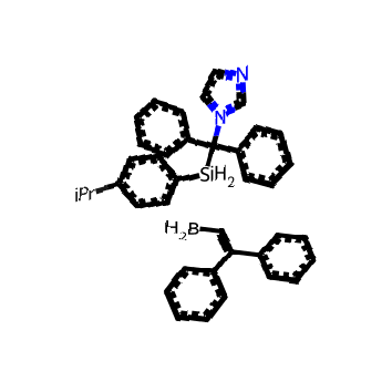 BC=C(c1ccccc1)c1ccccc1.CC(C)c1ccc([SiH2]C(c2ccccc2)(c2ccccc2)n2ccnc2)cc1